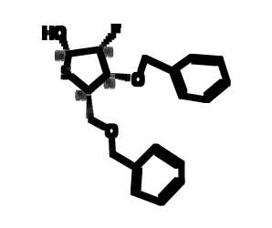 O[C@H]1S[C@@H](COCc2ccccc2)[C@@H](OCc2ccccc2)[C@H]1F